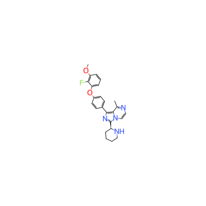 COc1cccc(Oc2ccc(-c3nc([C@@H]4CCCCN4)n4ccnc(C)c34)cc2)c1F